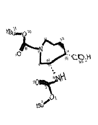 CC(C)(C)OC(=O)N[C@@H]1CN(C(=O)OC(C)(C)C)CC[C@@H]1C(=O)O